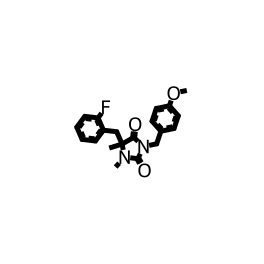 COc1ccc(CN2C(=O)N(C)C(C)(Cc3ccccc3F)C2=O)cc1